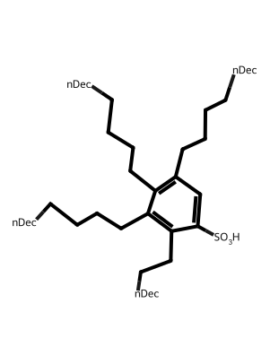 CCCCCCCCCCCCCCc1cc(S(=O)(=O)O)c(CCCCCCCCCCCC)c(CCCCCCCCCCCCCC)c1CCCCCCCCCCCCCC